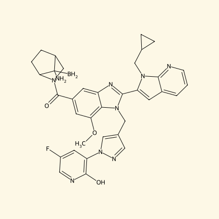 BC1(N)C2CCC1N(C(=O)c1cc(OC)c3c(c1)nc(-c1cc4cccnc4n1CC1CC1)n3Cc1cnn(-c3cc(F)cnc3O)c1)C2